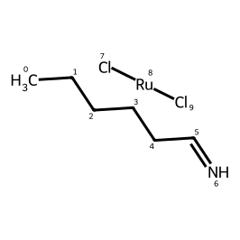 CCCCCC=N.[Cl][Ru][Cl]